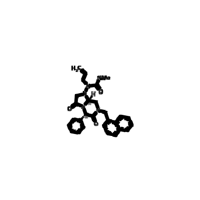 C=CCN(C(=O)NC)N1CC(=O)N2[C@@H](c3ccccc3)C(=O)N(Cc3cccc4ccccc34)C[C@@H]21